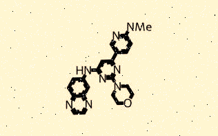 CNc1ccc(-c2cc(Nc3ccc4nccnc4c3)nc(N3CCOCC3)n2)cn1